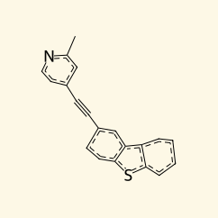 Cc1cc(C#Cc2ccc3sc4ccccc4c3c2)ccn1